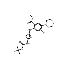 COC(=O)c1cc(N2CCOCC2)c(F)cc1NC12CC(NC(=O)OC(C)(C)C)(C1)C2